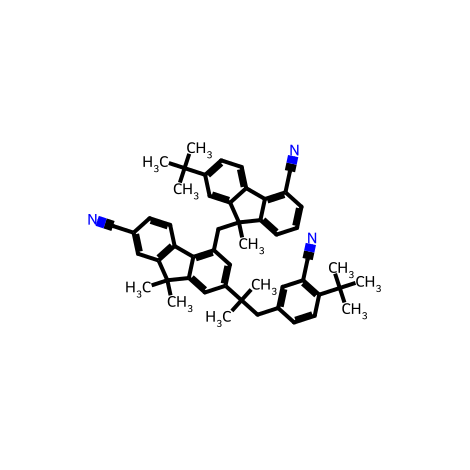 CC(C)(C)c1ccc2c(c1)C(C)(Cc1cc(C(C)(C)Cc3ccc(C(C)(C)C)c(C#N)c3)cc3c1-c1ccc(C#N)cc1C3(C)C)c1cccc(C#N)c1-2